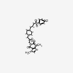 Cn1cnc2c1c(=O)n(CC(O)CN1CCN(CCCS(=O)(=O)c3ccc(Cl)cc3)CC1)c(=O)n2C